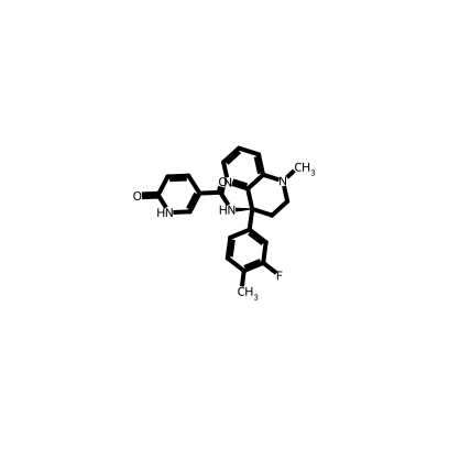 Cc1ccc([C@@]2(NC(=O)c3ccc(=O)[nH]c3)CCN(C)c3cccnc32)cc1F